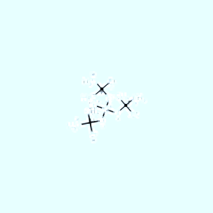 CCC(C)(C)O[Si](CC)(OC(C)(C)CC)OC(C)(C)CC